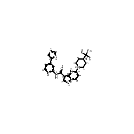 O=C(Nc1cc(-c2cnco2)ccn1)c1cnn2ccc(N3CCC(C(F)(F)F)CC3)nc12